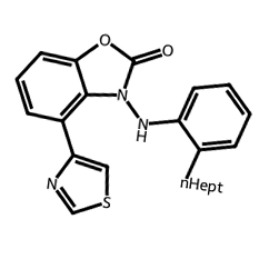 CCCCCCCc1ccccc1Nn1c(=O)oc2cccc(-c3cscn3)c21